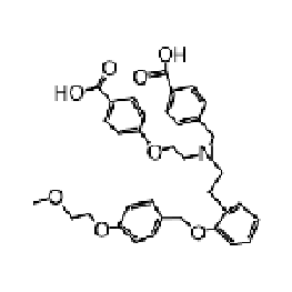 COCCOc1ccc(COc2ccccc2CCN(CCOc2ccc(C(=O)O)cc2)Cc2ccc(C(=O)O)cc2)cc1